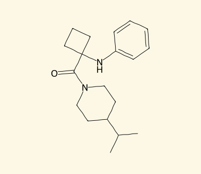 CC(C)C1CCN(C(=O)C2(Nc3ccccc3)CCC2)CC1